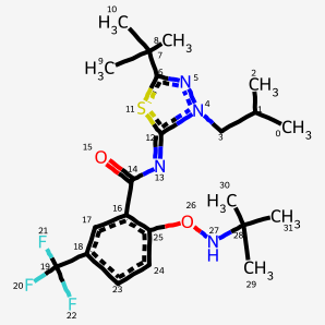 CC(C)Cn1nc(C(C)(C)C)s/c1=N\C(=O)c1cc(C(F)(F)F)ccc1ONC(C)(C)C